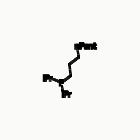 CCCCCCCCP(C(C)C)C(C)C